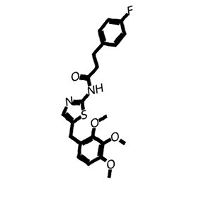 COc1ccc(Cc2cnc(NC(=O)CCc3ccc(F)cc3)s2)c(OC)c1OC